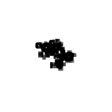 Nc1cc(Cl)cc(Cl)c1S(=O)(=O)NC(Cn1cc(-c2cc[nH]n2)c2ccccc21)C(F)(F)F